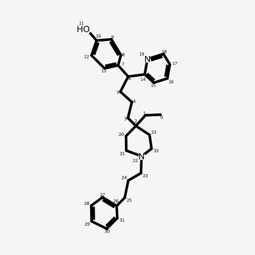 CCC1(CCCC(c2ccc(O)cc2)c2ccccn2)CCN(CCCc2ccccc2)CC1